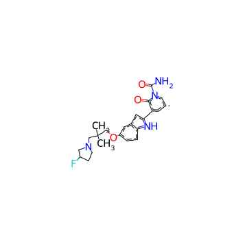 CC(C)(COc1ccc2[nH]c(-c3c[c]cn(C(N)=O)c3=O)cc2c1)CN1CC[C@@H](F)C1